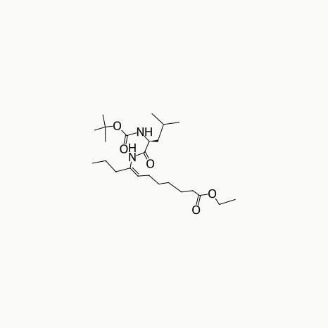 CCCC(=CCCCCCC(=O)OCC)NC(=O)[C@H](CC(C)C)NC(=O)OC(C)(C)C